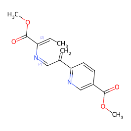 C=C(/C=N\C(=C/C)C(=O)OC)c1ccc(C(=O)OC)cn1